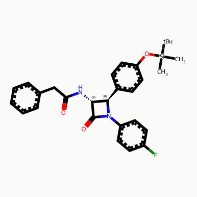 CC(C)(C)[Si](C)(C)Oc1ccc([C@@H]2[C@@H](NC(=O)Cc3ccccc3)C(=O)N2c2ccc(F)cc2)cc1